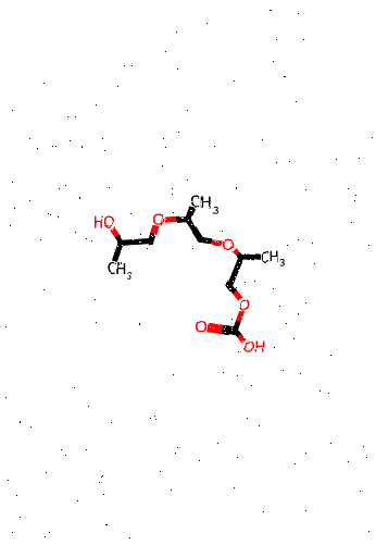 CC(O)COC(C)COC(C)COC(=O)O